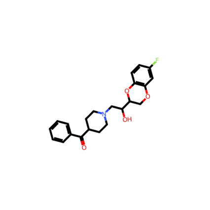 O=C(c1ccccc1)C1CCN(CC(O)C2COc3cc(F)ccc3O2)CC1